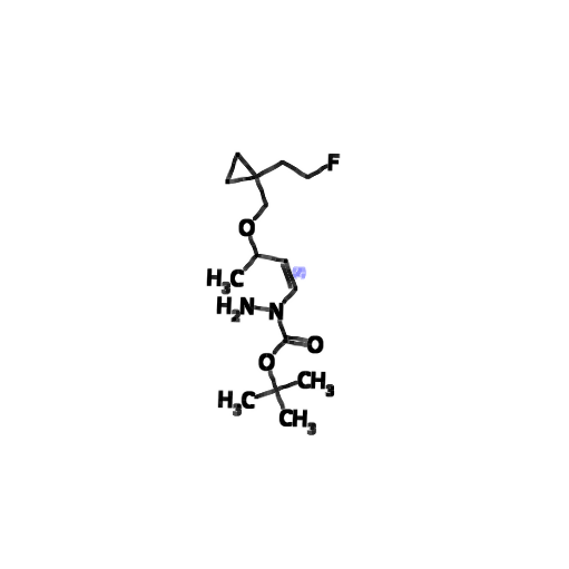 CC(/C=C\N(N)C(=O)OC(C)(C)C)OCC1(CCF)CC1